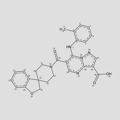 Cc1ccccc1Nc1c(C(=O)N2CCC3(CC2)COc2ccccc23)cnc2c(C(=O)O)cnn12